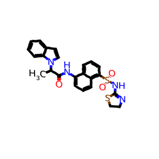 CC(C(=O)Nc1cccc2c(S(=O)(=O)NC3=NCCS3)cccc12)n1ccc2ccccc21